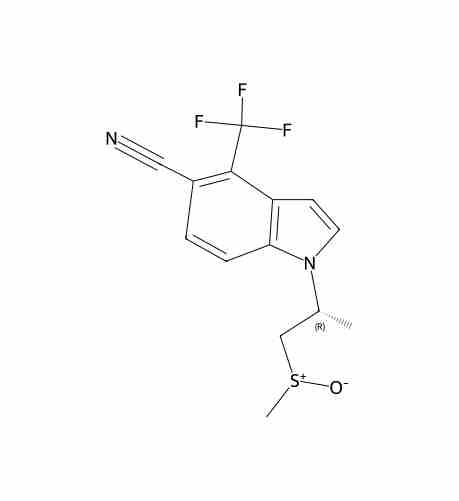 C[C@H](C[S+](C)[O-])n1ccc2c(C(F)(F)F)c(C#N)ccc21